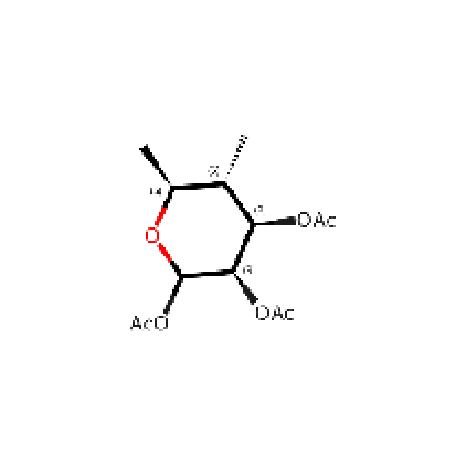 CC(=O)OC1O[C@@H](C)[C@H](C)[C@@H](OC(C)=O)[C@H]1OC(C)=O